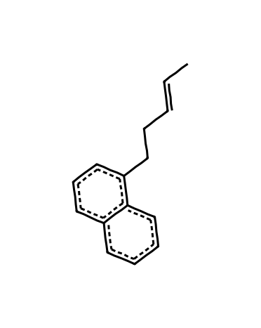 CC=CCCc1cccc2ccccc12